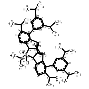 CC1=Cc2c(ccc(C(C)C)c2-c2cc(C(C)C)cc(C(C)C)c2)[CH]1[Zr]([Cl])([Cl])([CH]1C(C)=Cc2c1ccc(C(C)C)c2-c1cc(C(C)C)cc(C(C)C)c1)[SiH](C)C